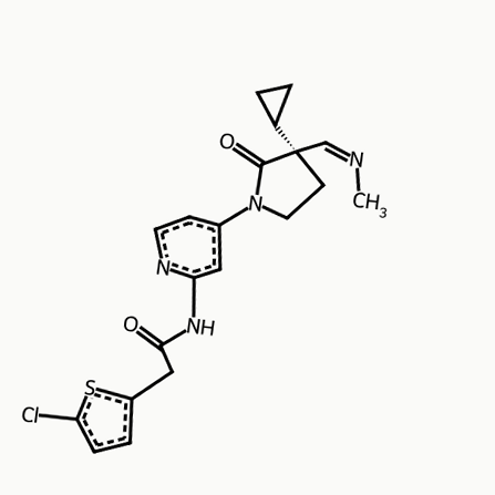 C/N=C\[C@@]1(C2CC2)CCN(c2ccnc(NC(=O)Cc3ccc(Cl)s3)c2)C1=O